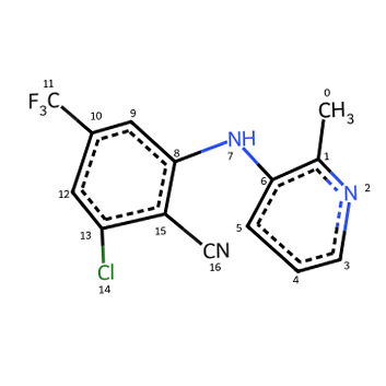 Cc1ncccc1Nc1cc(C(F)(F)F)cc(Cl)c1C#N